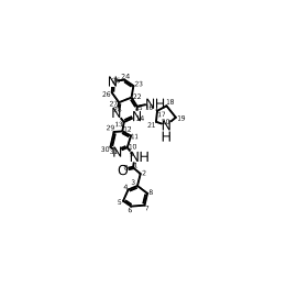 O=C(Cc1ccccc1)Nc1cc(-c2nc(N[C@@H]3CCNC3)c3ccncc3n2)ccn1